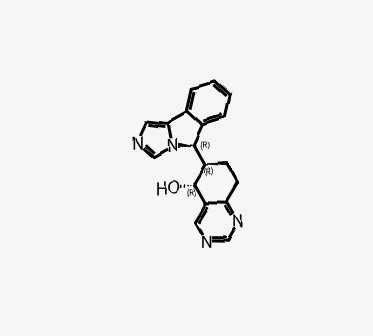 O[C@H]1c2cncnc2CC[C@@H]1[C@@H]1c2ccccc2-c2cncn21